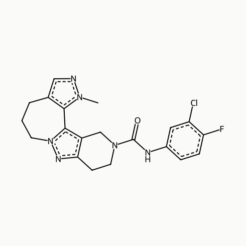 Cn1ncc2c1-c1c3c(nn1CCC2)CCN(C(=O)Nc1ccc(F)c(Cl)c1)C3